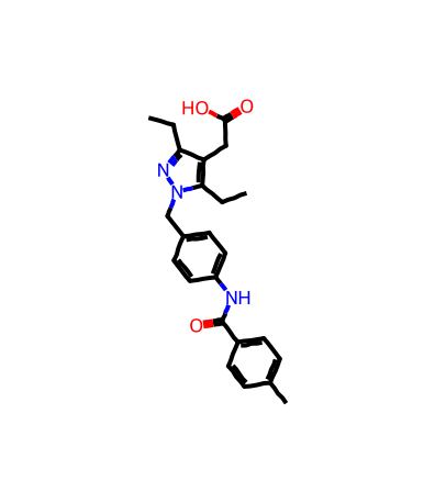 CCc1nn(Cc2ccc(NC(=O)c3ccc(C)cc3)cc2)c(CC)c1CC(=O)O